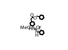 COc1cc(CC(=O)OCc2ccccc2)ccc1NC(=O)Nc1ccccc1F